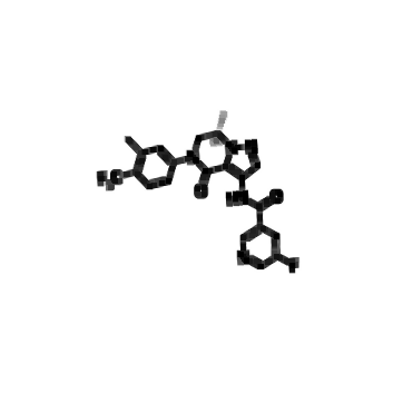 Cc1cc(N2C[C@H](C)n3ncc(NC(=O)c4cncc(F)c4)c3C2=O)ccc1C(F)(F)F